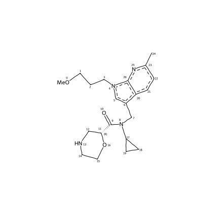 COCCCn1cc(CN(C(=O)[C@H]2CNCCO2)C2CC2)c2ccc(C)nc21